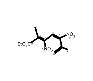 C=C(C)/C(=C\C(=C(/C)C(=O)OCC)[N+](=O)[O-])[N+](=O)[O-]